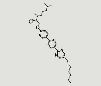 CCCCCCCc1cnc(-c2ccc(-c3ccc(OCC(Cl)C(C)CCCC(C)C)cc3)cc2)nc1